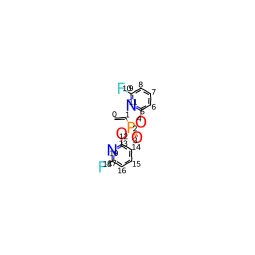 C=CP(=O)(Oc1cccc(F)n1)Oc1cccc(F)n1